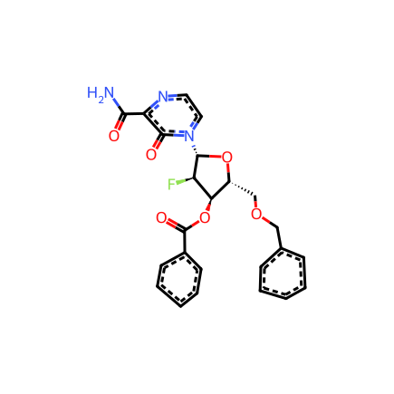 NC(=O)c1nccn([C@@H]2O[C@H](COCc3ccccc3)[C@@H](OC(=O)c3ccccc3)[C@H]2F)c1=O